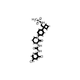 CS(=O)(=O)NCC1(c2ccc(N3CCC[C@@H](NC(=O)Nc4ncc(Cl)cc4Cl)C3=O)cc2)CCC1